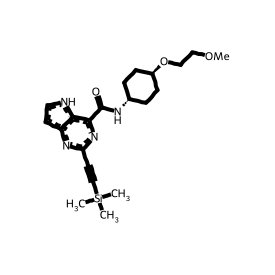 COCCO[C@H]1CC[C@H](NC(=O)c2nc(C#C[Si](C)(C)C)nc3cc[nH]c23)CC1